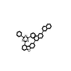 c1ccc(-c2nc(-c3ccccc3)nc(-c3cccc4oc5ccc(-c6ccc7cc(-c8ccc9ccccc9c8)ccc7c6)cc5c34)n2)cc1